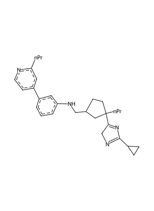 CCCc1cc(-c2cccc(NCC3CCC(CCC)(C4=NC(C5CC5)=NC4)C3)c2)ccn1